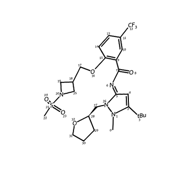 Cn1c(C(C)(C)C)c/c(=N\C(=O)c2cc(C(F)(F)F)ccc2OCC2CN(S(C)(=O)=O)C2)n1C[C@H]1CCCO1